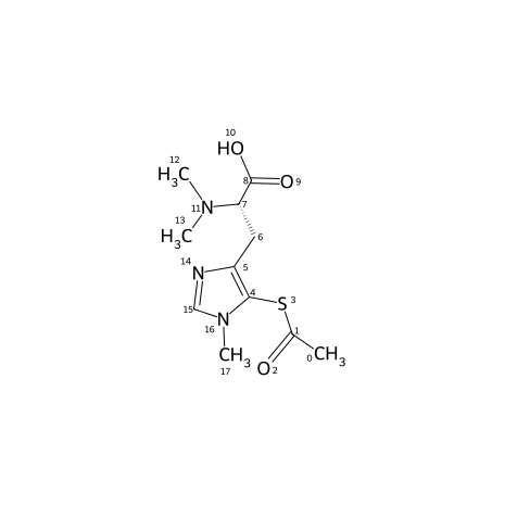 CC(=O)Sc1c(C[C@@H](C(=O)O)N(C)C)ncn1C